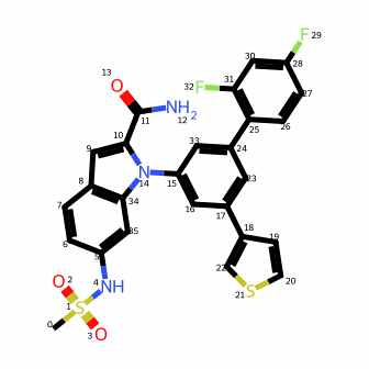 CS(=O)(=O)Nc1ccc2cc(C(N)=O)n(-c3cc(-c4ccsc4)cc(-c4ccc(F)cc4F)c3)c2c1